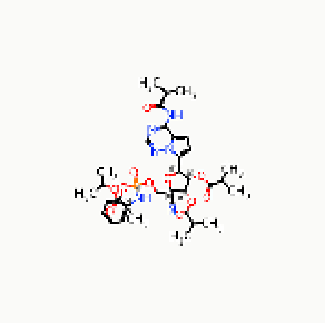 CC(C)OC(=O)[C@H](C)N[P@](=O)(OC[C@@]1(C#N)O[C@@H](c2ccc3c(NC(=O)C(C)C)ncnn23)[C@H](OC(=O)C(C)C)[C@@H]1OC(=O)C(C)C)Oc1ccccc1